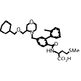 CSCCC(NC(=O)c1ccc(CN2CCOCC2COCC2CCCCC2)cc1-c1ccccc1C)C(=O)O